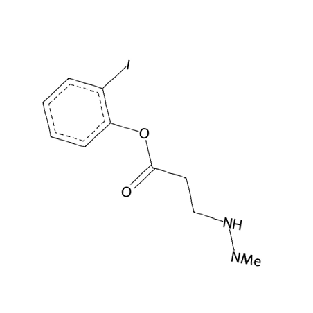 CNNCCC(=O)Oc1ccccc1I